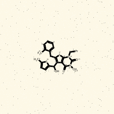 Cc1ccc(C(O)c2c(Cc3ccccc3C(F)(F)F)sc3c2c(=O)n(C)c(=O)n3CC(C)C)s1